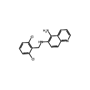 Nc1c(NCc2c(Cl)cccc2Cl)ccc2ncccc12